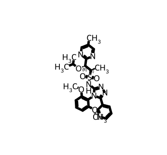 COc1cccc(OC)c1-n1c(NS(=O)(=O)[C@H](C)[C@H](OC(C)C)c2ncc(C)cn2)nnc1-c1cccnc1